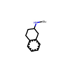 CC(C)(C)NC1CCc2ccccc2C1